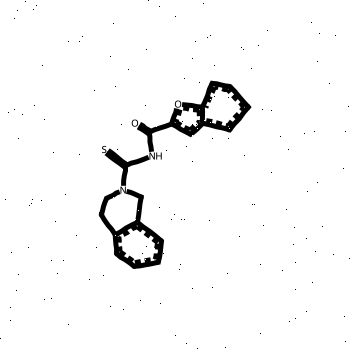 O=C(NC(=S)N1CCc2ccccc2C1)c1cc2ccccc2o1